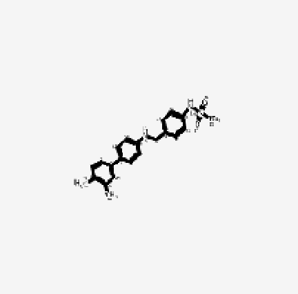 Cc1ccc(-c2ccc(NCc3ccc(NS(=O)(=O)C(C)(C)C)cc3)cc2)cc1C